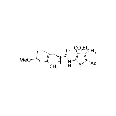 CCOC(=O)c1c(NC(=O)NCc2ccc(OC)cc2C)sc(C(C)=O)c1C